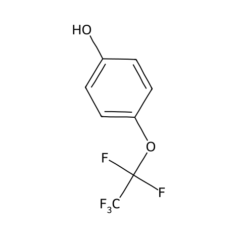 Oc1ccc(OC(F)(F)C(F)(F)F)cc1